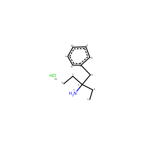 CCC(N)(CC)Cc1ccccc1.Cl